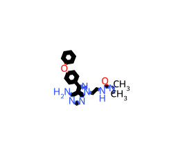 CN(C)C(=O)NCCn1nc(-c2ccc(Oc3ccccc3)cc2)c2c(N)ncnc21